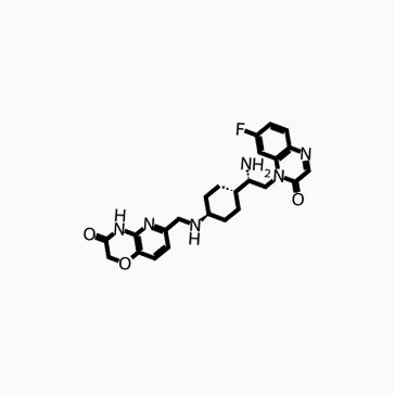 N[C@H](Cn1c(=O)cnc2ccc(F)cc21)[C@H]1CC[C@H](NCc2ccc3c(n2)NC(=O)CO3)CC1